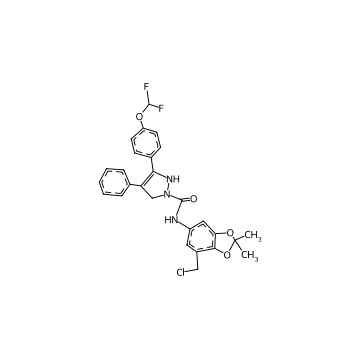 CC1(C)Oc2cc(NC(=O)N3CC(c4ccccc4)=C(c4ccc(OC(F)F)cc4)N3)cc(CCl)c2O1